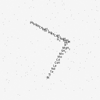 B.S.[Ag].[BaH2].[BeH2].[Bi].[CaH2].[Cd].[Ce].[CsH].[Fe].[Hg].[La].[LiH].[MgH2].[Mn].[Mo].[NaH].[Nd].[Pb].[SiH4].[Ta].[Tb].[Te].[Tl]